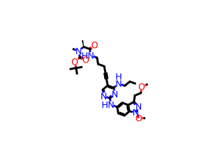 CCCNc1nc(Nc2ccc3c(c2)c(CCOC)nn3OC)ncc1C#CCCCNC(=O)[C@H](C)N(C)C(=O)OC(C)(C)C